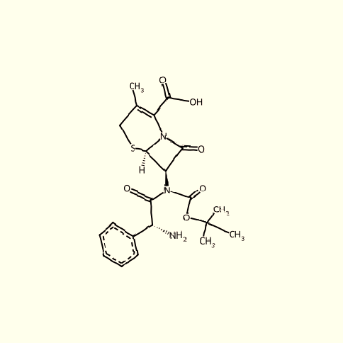 CC1=C(C(=O)O)N2C(=O)[C@@H](N(C(=O)OC(C)(C)C)C(=O)[C@H](N)c3ccccc3)[C@H]2SC1